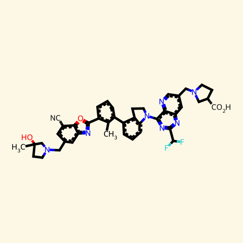 Cc1c(-c2nc3cc(CN4CCC(C)(O)C4)cc(C#N)c3o2)cccc1-c1cccc2c1CCN2c1nc(C(F)F)nc2cc(CN3CCC(C(=O)O)C3)cnc12